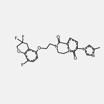 Cc1cn(-c2ccc3n(c2=O)CCN(CCOc2ccc(F)c4c2CC(F)(F)CO4)C3=O)cn1